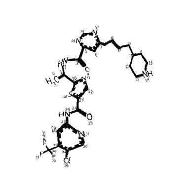 CC(NC(=O)c1cc(CCCC2CCNCC2)ncn1)c1ncc(C(=O)Nc2cc(C(F)(F)F)c(Cl)cn2)s1